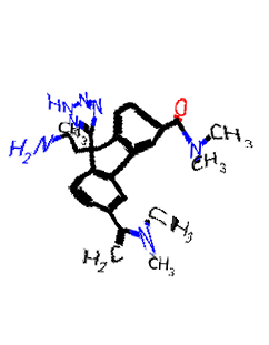 C=C(c1ccc2c(c1)-c1cc(C(=O)N(C)C)ccc1C2(C[C@@H](C)N)c1nn[nH]n1)N(C)C